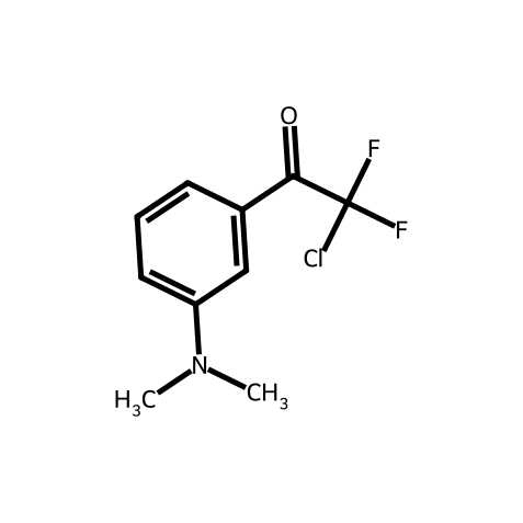 CN(C)c1cccc(C(=O)C(F)(F)Cl)c1